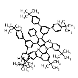 CC(C)(C)c1ccc(-c2cc(-c3ccc(C(C)(C)C)cc3)cc(-c3c4c5c(c(-c6cc(-c7ccc(C(C)(C)C)cc7)cc(-c7ccc(C(C)(C)C)cc7)c6)c3-c3ccccc3)-n3c6ccc(C(C)(C)C)cc6c6cc(C(C)(C)C)cc(c63)B5c3cc(C(C)(C)C)ccc3O4)c2)cc1